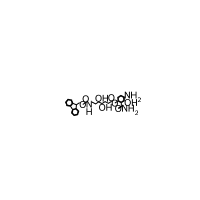 NC(=O)c1c(OC(=O)CCC(O)C(O)CCNC(=O)OCC2c3ccccc3-c3ccccc32)ccc(N)c1O